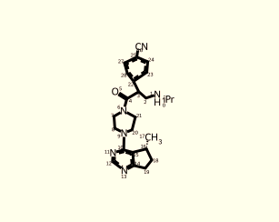 CC(C)NCC(C(=O)N1CCN(c2ncnc3c2[C@H](C)CC3)CC1)c1ccc(C#N)cc1